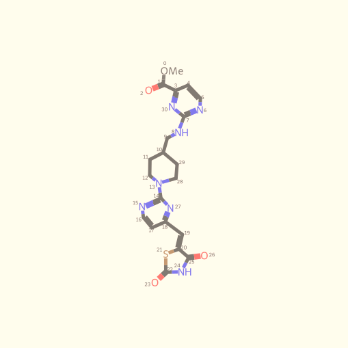 COC(=O)c1ccnc(NCC2CCN(c3nccc(/C=C4\SC(=O)NC4=O)n3)CC2)n1